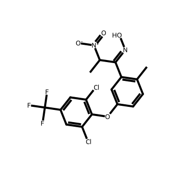 Cc1ccc(Oc2c(Cl)cc(C(F)(F)F)cc2Cl)cc1C(=NO)C(C)[N+](=O)[O-]